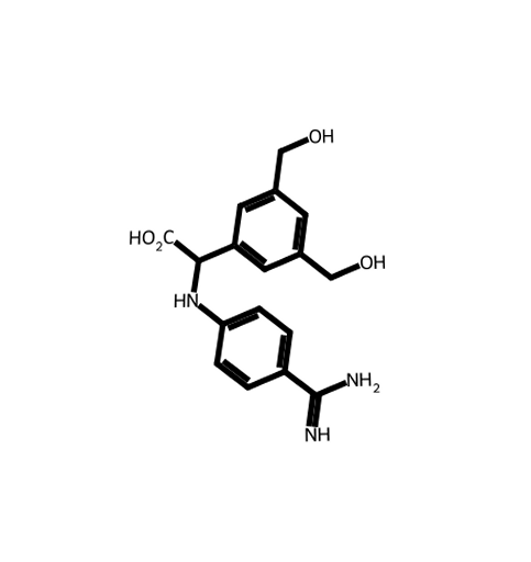 N=C(N)c1ccc(NC(C(=O)O)c2cc(CO)cc(CO)c2)cc1